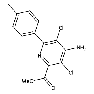 COC(=O)c1nc(-c2ccc(C)cc2)c(Cl)c(N)c1Cl